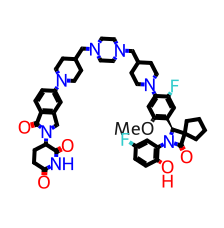 COc1cc(N2CCC(CN3CCN(CC4CCN(c5ccc6c(c5)CN(C5CCC(=O)NC5=O)C6=O)CC4)CC3)CC2)c(F)cc1[C@@H]1N(c2cc(F)ccc2O)C(=O)C12CCCC2